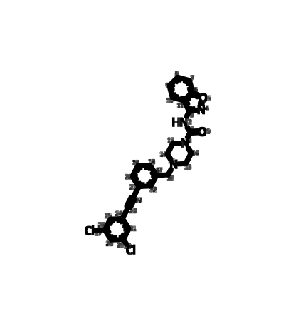 O=C(Nc1noc2ccccc12)N1CCN(Cc2cccc(C#Cc3cc(Cl)cc(Cl)c3)c2)CC1